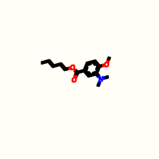 CCCCCOC(=O)c1ccc(OC)c(N(C)C)c1